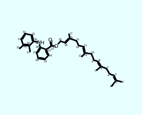 CC(C)=CCC/C(C)=C/CC/C(C)=C/CC/C(C)=C/COC(=O)c1ccccc1Nc1cccc(C)c1C